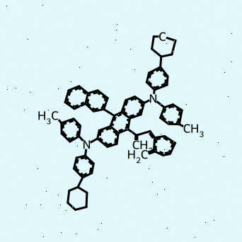 C=C(/C=c1/ccccc1=C)c1c2cc(N(c3ccc(C)cc3)c3ccc(C4CCCCC4)cc3)ccc2c(-c2ccc3ccccc3c2)c2cc(N(c3ccc(C)cc3)c3ccc(C4CCCCC4)cc3)ccc12